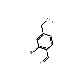 CCc1ccc(C=O)c(Br)c1